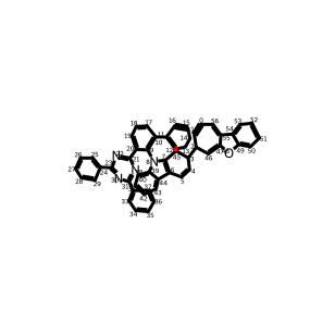 C1#CC(C2C=Cc3c(n(-c4c(C5=CCCC#C5)cccc4-c4nc(-c5ccccc5)nc(-c5ccccc5)n4)c4ccccc34)C2)C=c2oc3ccccc3c2=C1